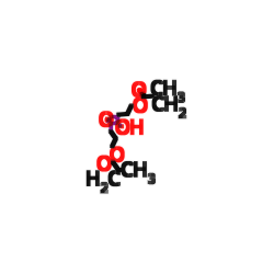 C=C(C)C(=O)OCCCP(=O)(O)CCCOC(=O)C(=C)C